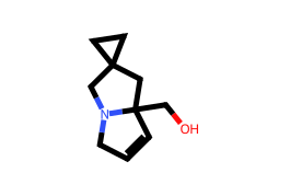 OCC12C=CCN1CC1(CC1)C2